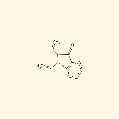 C=CC1=C(C=C)c2ccccc2C1=O